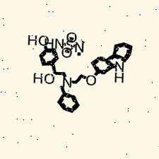 CN(C)S(=O)(=O)Nc1cc(C(O)CN(CCOc2ccc3c(c2)[nH]c2ccccc23)Cc2ccccc2)ccc1O